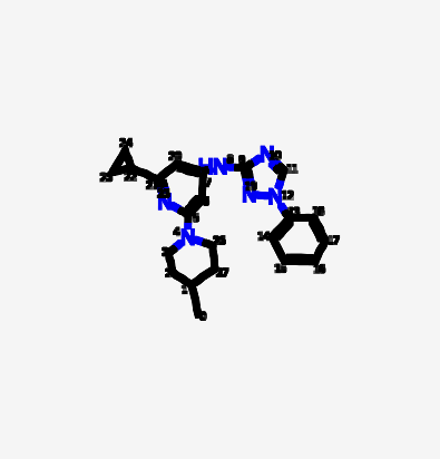 CC1CCN(c2cc(Nc3ncn(-c4ccccc4)n3)cc(C3CC3)n2)CC1